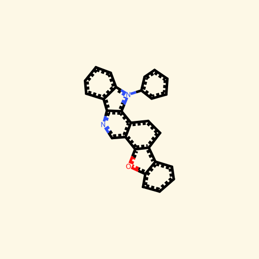 c1ccc(-n2c3ccccc3c3ncc4c(ccc5c6ccccc6oc54)c32)cc1